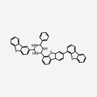 C1=CC2c3cccc(C4NC(c5ccccc5)NC(c5ccc6sc7ccccc7c6c5)N4)c3SC2C=C1c1cccc2c1sc1ccccc12